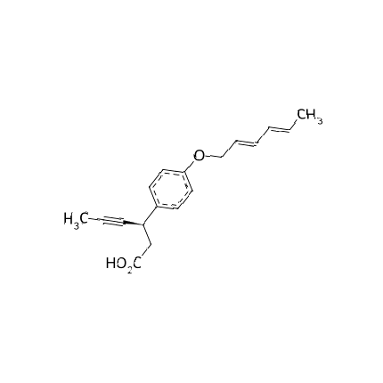 CC#C[C@H](CC(=O)O)c1ccc(OC/C=C/C=C/C)cc1